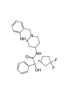 Nc1ccccc1CN1CCC(NC(=O)C(O)(c2ccccc2)[C@@H]2CCC(F)(F)C2)CC1